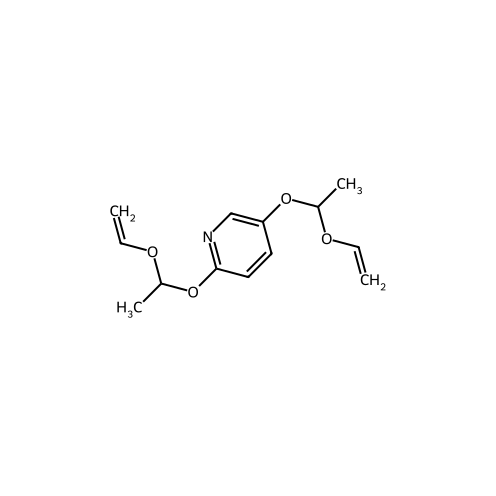 C=COC(C)Oc1ccc(OC(C)OC=C)nc1